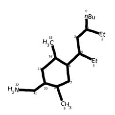 CCCCC(CC)CC(CC)C1CC(C)C(CN)CC1C